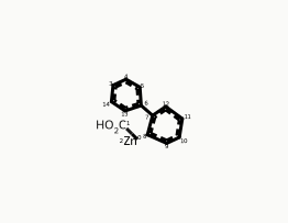 CC(=O)O.[Zn].c1ccc(-c2ccccc2)cc1